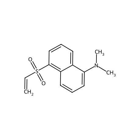 C=CS(=O)(=O)c1cccc2c(N(C)C)cccc12